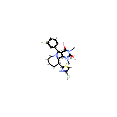 Cn1c(=O)c2c(-c3cccc(F)c3)n3c(c2n(C)c1=O)C(c1nc(Cl)cs1)CCCC3